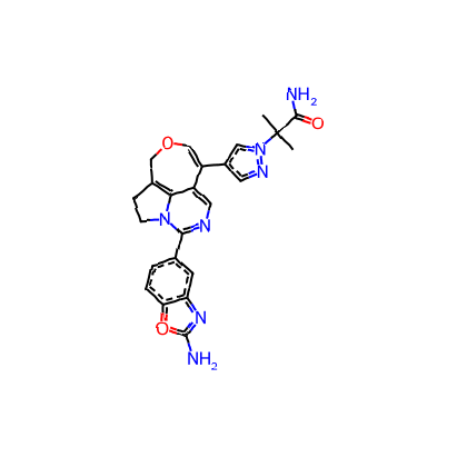 CC(C)(C(N)=O)n1cc(C2=COCC3=C4C2=CN=C(c2ccc5oc(N)nc5c2)N4CC3)cn1